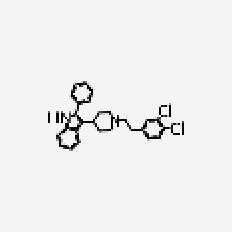 Clc1ccc(CCN2CCC(c3c(-c4ccccc4)[nH]c4ccccc34)CC2)cc1Cl